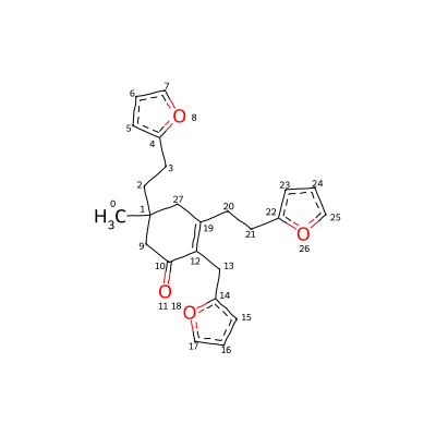 CC1(CCc2ccco2)CC(=O)C(Cc2ccco2)=C(CCc2ccco2)C1